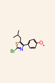 COc1ccc(-c2nc(Br)sc2CC(C)C)cc1